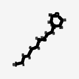 ICCCCCSSCCN1CCOCC1